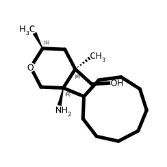 C[C@H]1C[C@@](C)(CO)[C@](N)(C2CCCCCCCC2)CO1